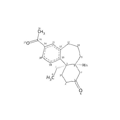 CC[C@@]12CCC(=O)C[C@@H]1CCCc1cc(C(C)=O)ccc12